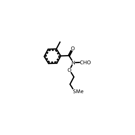 CSCCON(C=O)C(=O)c1ccccc1C